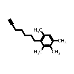 [C]#CCCCCCc1c(C)cc(C)c(C)c1C